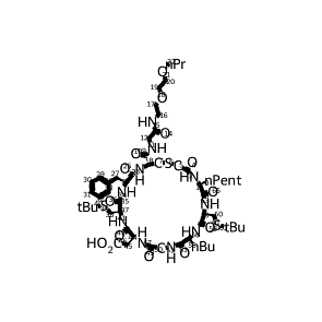 CCCCC[C@@H]1NC(=O)CSC[C@@H](C(=O)NCC(=O)NCCOCCOCCC)NC(=O)[C@H](Cc2ccccc2)NC(=O)[C@H](CSC(C)(C)C)NC(=O)[C@H](CC(=O)O)NC(=O)CNC(=O)[C@H](CCCC)NC(=O)[C@H](CSC(C)(C)C)NC1=O